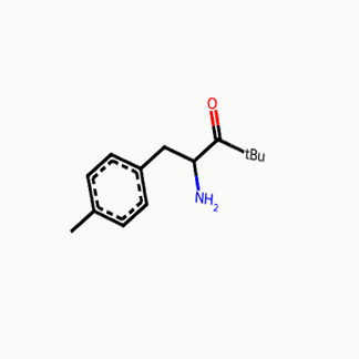 Cc1ccc(CC(N)C(=O)C(C)(C)C)cc1